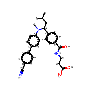 CC(C)CC(c1ccc(C(=O)NCCC(=O)O)cc1)N(C)c1ccc(-c2ccc(C#N)cc2)cc1